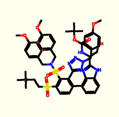 COc1ccc(CN(Cc2ccc(OC)cc2)S(=O)(=O)c2c(S(=O)(=O)CC[Si](C)(C)C)ccc(-c3cccc4[nH]c(C(CO)NC(=O)OC(C)(C)C)nc34)c2-c2nnn(Cc3ccc(OC)cc3)n2)cc1